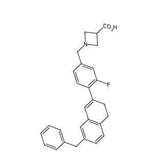 O=C(O)C1CN(Cc2ccc(C3=Cc4cc(Cc5ccccc5)ccc4CC3)c(F)c2)C1